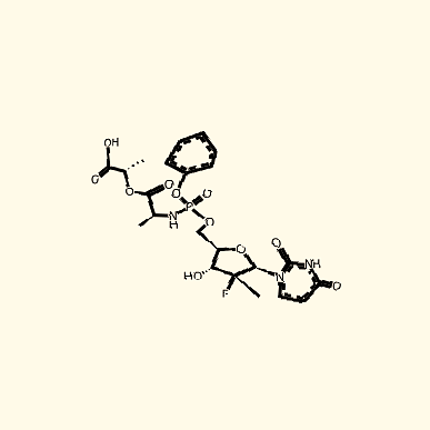 C[C@H](NP(=O)(OC[C@H]1O[C@@H](n2ccc(=O)[nH]c2=O)[C@](C)(F)[C@@H]1O)Oc1ccccc1)C(=O)O[C@@H](C)C(=O)O